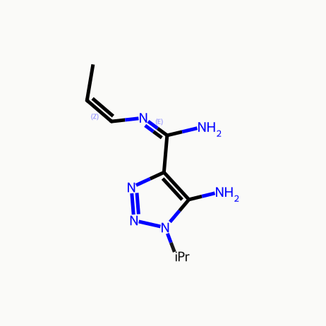 C/C=C\N=C(\N)c1nnn(C(C)C)c1N